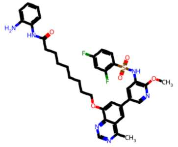 COc1ncc(-c2cc(OCCCCCCCCC(=O)Nc3ccccc3N)c3ncnc(C)c3c2)cc1NS(=O)(=O)c1ccc(F)cc1F